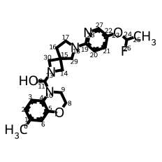 Cc1ccc2c(c1)OCCN2C(O)N1CC2(CCN(c3ccc(OC(C)F)cn3)C2)C1